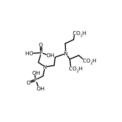 O=C(O)CCN(CCN(CP(=O)(O)O)CP(=O)(O)O)C(CC(=O)O)C(=O)O